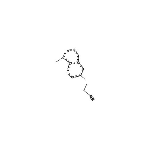 C#CCOc1cnc2c(Cl)nccc2c1